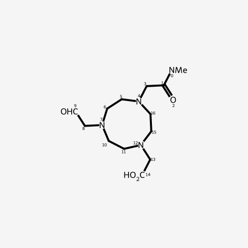 CNC(=O)CN1CCN(CC=O)CCN(CC(=O)O)CC1